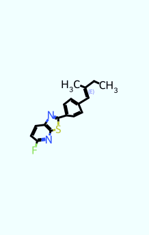 CC/C(C)=C/c1ccc(-c2nc3ccc(F)nc3s2)cc1